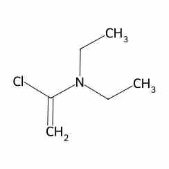 C=C(Cl)N(CC)CC